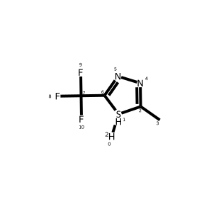 [2H][SH]1C(C)=NN=C1C(F)(F)F